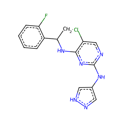 [CH2][C](Nc1nc(Nc2cn[nH]c2)ncc1Cl)c1ccccc1F